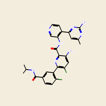 Cc1cc(-c2ccncc2NC(=O)c2nc(-c3cc(C(=O)NC(C)C)ccc3F)c(F)cc2N)nc(N)n1